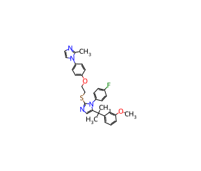 COc1cccc(C(C)(C)c2cnc(SCCOc3ccc(-n4ccnc4C)cc3)n2-c2ccc(F)cc2)c1